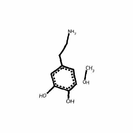 CO.NCCc1ccc(O)c(O)c1